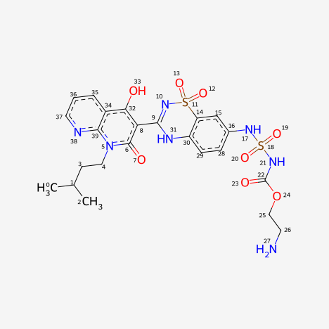 CC(C)CCn1c(=O)c(C2=NS(=O)(=O)c3cc(NS(=O)(=O)NC(=O)OCCN)ccc3N2)c(O)c2cccnc21